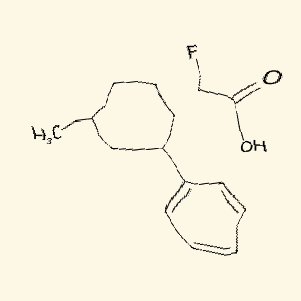 CC1CCCC(c2ccccc2)C1.O=C(O)CF